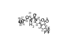 COC(=O)c1cc(C(F)(F)F)ccc1C1CCN(C(=O)[C@@H](N)[C@@H](C)OCC23CCC(CC2)OC3)CC1